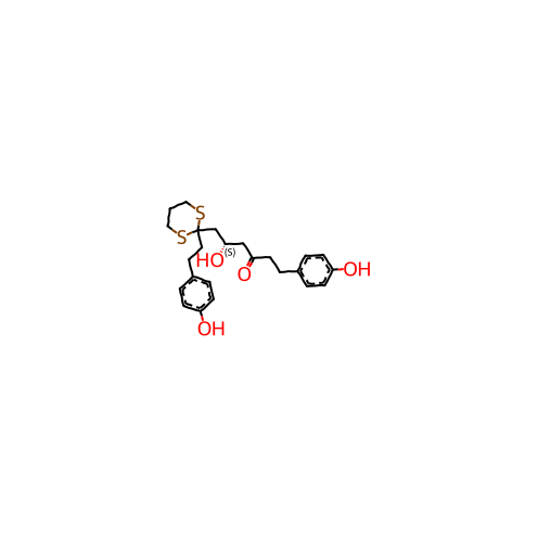 O=C(CCc1ccc(O)cc1)C[C@H](O)CC1(CCc2ccc(O)cc2)SCCCS1